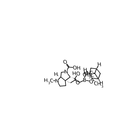 CN1CC[C@@]2(CCCB3O[C@@H]4C[C@@H]5C[C@@H](C5(C)C)[C@]4(C)O3)[C@@H]1CN(C(=O)O)[C@@H]2C(=O)O